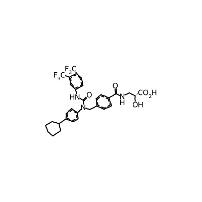 O=C(NC[C@@H](O)C(=O)O)c1ccc(CN(C(=O)Nc2ccc(C(F)(F)F)c(C(F)(F)F)c2)c2ccc(C3CCCCC3)cc2)cc1